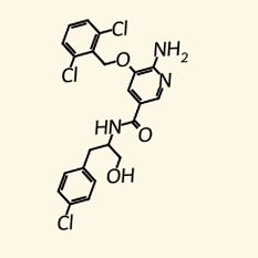 Nc1ncc(C(=O)NC(CO)Cc2ccc(Cl)cc2)cc1OCc1c(Cl)cccc1Cl